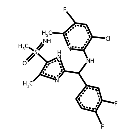 Cc1nc(NC(c2ccc(F)c(F)c2)c2nc(C)c(S(C)(=N)=O)[nH]2)c(Cl)cc1F